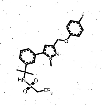 Cn1nc(COc2ccc(F)cc2)cc1-c1cccc(C(C)(C)NS(=O)(=O)CC(F)(F)F)c1